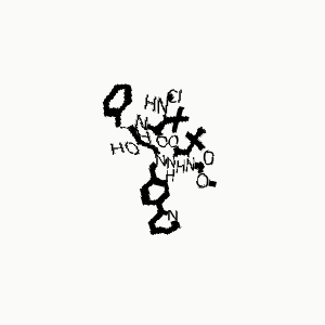 COC(=O)N[C@H](C(=O)NN(Cc1ccc(-c2ccccn2)cc1)C[C@H](O)[C@H](Cc1ccccc1)NC(=O)[C@@H](NCl)C(C)(C)C)C(C)(C)C